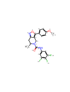 CC1Cc2noc(-c3ccc(OC(F)(F)F)cc3)c2CN1C(=O)Nc1cc(F)c(F)c(F)c1